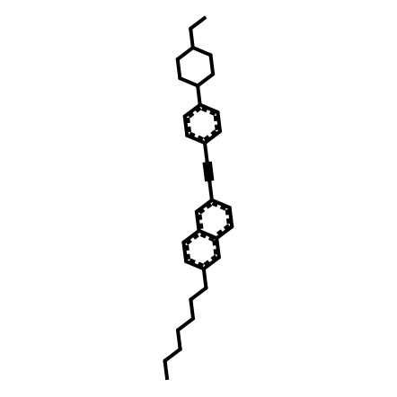 CCCCCCCc1ccc2cc(C#Cc3ccc(C4CCC(CC)CC4)cc3)ccc2c1